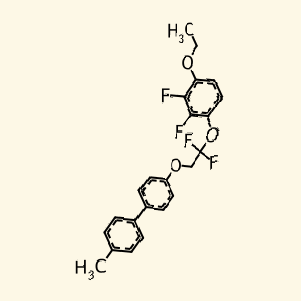 CCOc1ccc(OC(F)(F)COc2ccc(-c3ccc(C)cc3)cc2)c(F)c1F